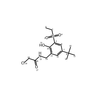 CCS(=O)(=O)c1cc(C(C)(C)C)cc(CNC(=O)CCl)c1O